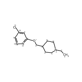 CCN1CCC(COc2cc(Cl)cnn2)CC1